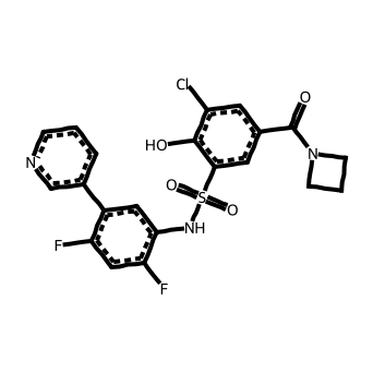 O=C(c1cc(Cl)c(O)c(S(=O)(=O)Nc2cc(-c3cccnc3)c(F)cc2F)c1)N1CCC1